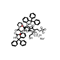 C[C@H](NC(=O)[C@@H]1CCCN1C(=O)[C@H](CC(=O)NC(c1ccccc1)(c1ccccc1)c1ccccc1)NC(=O)[C@H](CSC(c1ccccc1)(c1ccccc1)c1ccccc1)NC(=O)[C@@H](N)CSS(=O)(=O)[O-])C(=O)N[C@@H](CS)C(=O)O.[Na+]